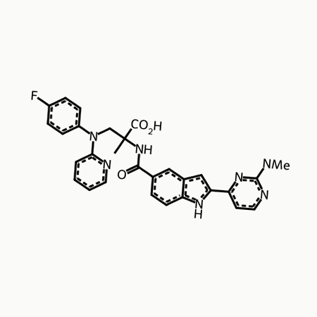 CNc1nccc(-c2cc3cc(C(=O)NC(C)(CN(c4ccc(F)cc4)c4ccccn4)C(=O)O)ccc3[nH]2)n1